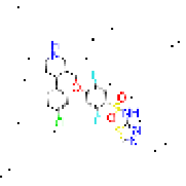 O=S(=O)(Nc1nncs1)c1cc(F)c(OCC2CNCCC2c2ccc(Cl)cc2)cc1F